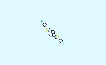 Fc1ccc(C2=CC3c4ccc5c6c(ccc(c46)C3S2)-c2cc(-c3ccc(F)cc3)sc2-5)cc1